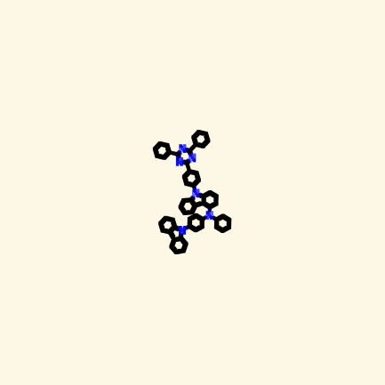 c1ccc(-c2nc(-c3ccccc3)nc(-c3ccc(-n4c5ccccc5c5c(N(c6ccccc6)c6ccc(-n7c8ccccc8c8ccccc87)cc6)cccc54)cc3)n2)cc1